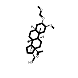 COCO[C@H]1C[C@@H]2CC[C@@H]3[C@H](CC[C@]4(C(C)=O)[C@@H](CO)CC[C@@H]34)[C@@]2(C)C[C@@H]1OC